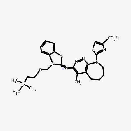 CCOC(=O)c1csc(N2CCCCc3c2nnc(/N=c2\sc4ccccc4n2COCC[Si](C)(C)C)c3C)n1